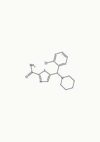 NC(=O)c1ncc(C(c2ccccc2Cl)N2CCCCC2)s1